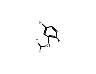 Fc1c[c]c(F)c(OC(F)F)c1